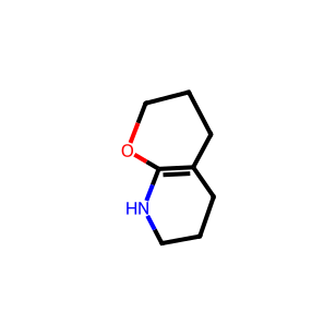 C1CNC2=C(C1)CCCO2